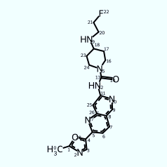 Cc1ncc(-c2ccc3cnc(NC(=O)N4CCC(NCCF)CC4)cc3n2)o1